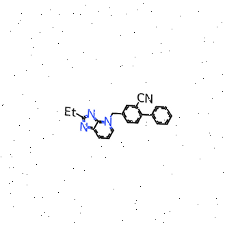 CCc1nc2cccn(Cc3ccc(-c4ccccc4)c(C#N)c3)c-2n1